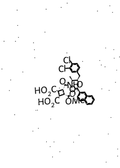 COC(=O)[C@@H]1[C@@H](C(=O)O)[C@H](C(=O)O)[C@@H]1C(=O)N[C@@H](C)[C@@H](Cc1ccc(Cl)c(Cl)c1)OC(=O)c1ccc2ccccc2c1